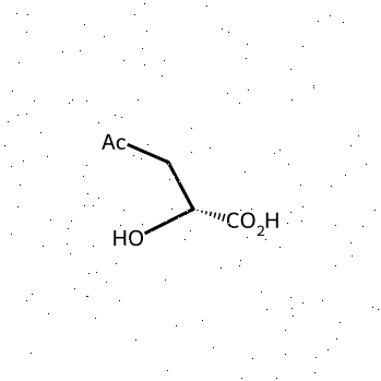 CC(=O)C[C@@H](O)C(=O)O